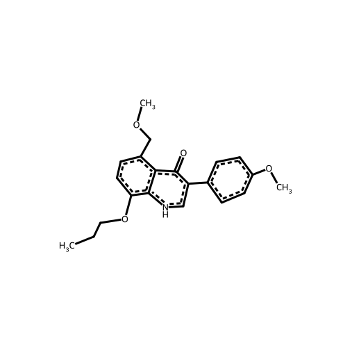 CCCOc1ccc(COC)c2c(=O)c(-c3ccc(OC)cc3)c[nH]c12